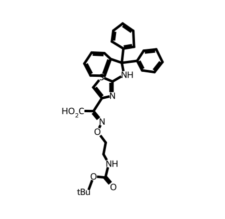 CC(C)(C)OC(=O)NCCON=C(C(=O)O)c1csc(NC(c2ccccc2)(c2ccccc2)c2ccccc2)n1